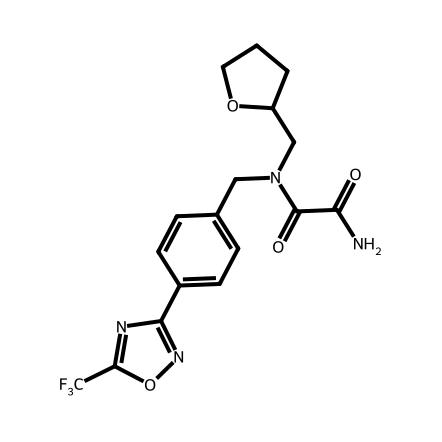 NC(=O)C(=O)N(Cc1ccc(-c2noc(C(F)(F)F)n2)cc1)CC1CCCO1